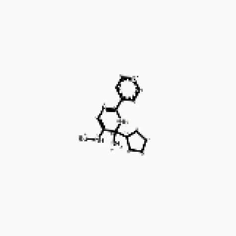 CCC(C)NC1=CN=C(c2ccncc2)NC1(N)C1CCCC1